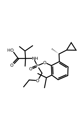 CCOCP(=O)(NC(C)(C(=O)O)C(C)C)Oc1c(C(C)C)cccc1[C@H](C)C1CC1